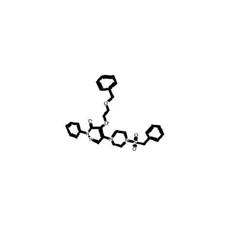 O=c1c(OCCOCc2ccccc2)c(N2CCN(S(=O)(=O)Cc3ccccc3)CC2)cnn1-c1ccccc1